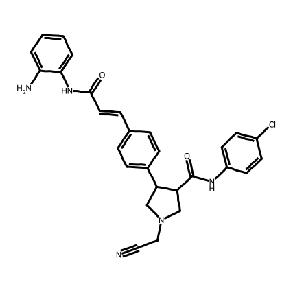 N#CCN1CC(C(=O)Nc2ccc(Cl)cc2)C(c2ccc(/C=C/C(=O)Nc3ccccc3N)cc2)C1